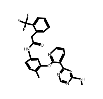 CNc1ncnc(-c2cccnc2Oc2cc(NC(=O)Cc3ccccc3C(F)(F)F)ccc2C)n1